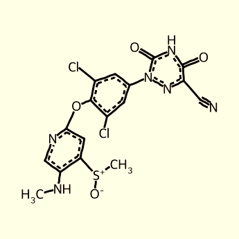 CNc1cnc(Oc2c(Cl)cc(-n3nc(C#N)c(=O)[nH]c3=O)cc2Cl)cc1[S+](C)[O-]